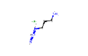 Br.[N-]=[N+]=NCCCN